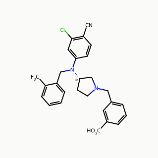 N#Cc1ccc(N(Cc2ccccc2C(F)(F)F)[C@H]2CCN(Cc3cccc(C(=O)O)c3)C2)cc1Cl